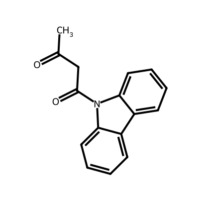 CC(=O)CC(=O)n1c2ccccc2c2ccccc21